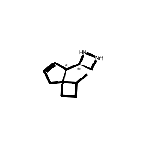 CC1CCC12CC=C[C@H]2[C@@H]1CNN1